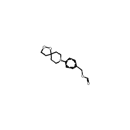 O=[C]OCc1ccc(N2CCC3(CCOO3)CC2)cc1